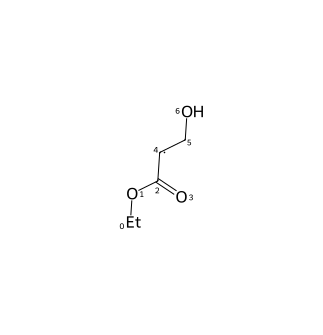 CCOC(=O)[CH]CO